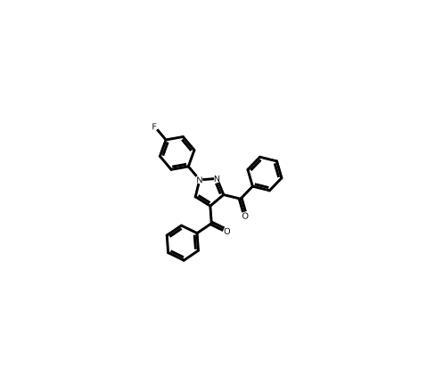 O=C(c1ccccc1)c1cn(-c2ccc(F)cc2)nc1C(=O)c1ccccc1